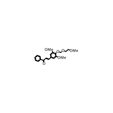 COCCOCOc1c(OC)cc(C=CC(=O)c2ccccc2)cc1OC